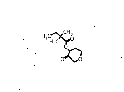 CCC(C)(C)C(=O)OC1CCOCC1=O